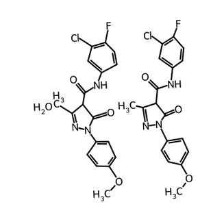 COc1ccc(N2N=C(C)C(C(=O)Nc3ccc(F)c(Cl)c3)C2=O)cc1.COc1ccc(N2N=C(C)C(C(=O)Nc3ccc(F)c(Cl)c3)C2=O)cc1.O